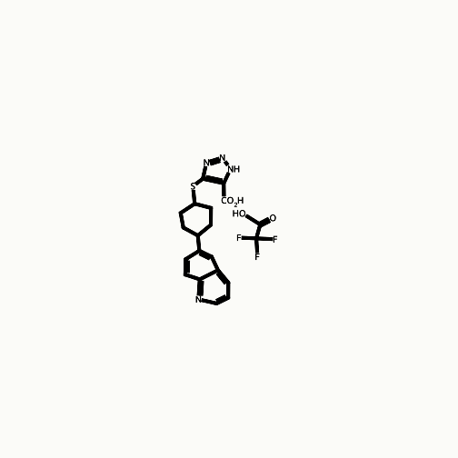 O=C(O)C(F)(F)F.O=C(O)c1[nH]nnc1SC1CCC(c2ccc3ncccc3c2)CC1